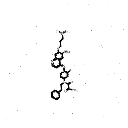 CCN(CC)CCCOc1cc2nccc(Oc3ccc(N(CCc4ccccc4)C(=O)C(N)=O)cc3F)c2cc1OC